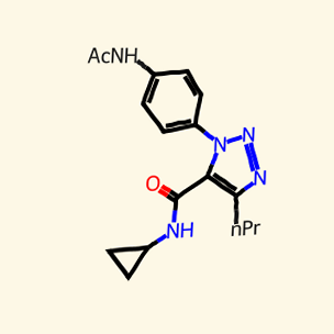 CCCc1nnn(-c2ccc(NC(C)=O)cc2)c1C(=O)NC1CC1